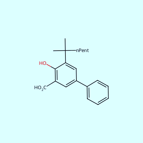 CCCCCC(C)(C)c1cc(-c2ccccc2)cc(C(=O)O)c1O